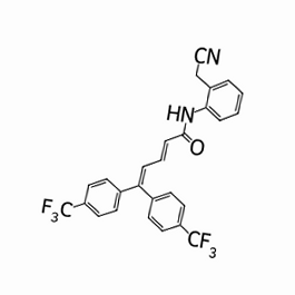 N#CCc1ccccc1NC(=O)/C=C/C=C(c1ccc(C(F)(F)F)cc1)c1ccc(C(F)(F)F)cc1